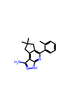 Cc1ccccc1-c1nc2[nH]nc(N)c2c2c1CC(C)(C)C2